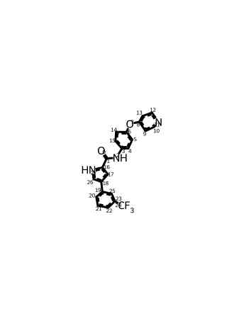 O=C(Nc1ccc(Oc2ccncc2)cc1)c1cc(-c2cccc(C(F)(F)F)c2)c[nH]1